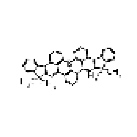 CC1(C)c2ccccc2-c2c1cc1c3c(cccc23)B2c3c-1cccc3-c1cc3c(c4cccc2c14)-c1ccccc1C3(C)C